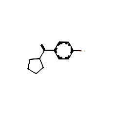 C=C(c1ccc(Br)cc1)C1CCCC1